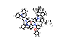 CC(C)(C)c1ccc(N(c2ccc3c(c2)N(c2cccc4c2oc2ccccc24)c2cccc4c2B3c2cc3cc(N(c5ccccc5)c5ccccc5)ccn3c2N4c2ccccc2)c2ccc(C(C)(C)C)c3ccccc23)cc1